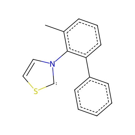 Cc1cccc(-c2ccccc2)c1N1[C]SC=C1